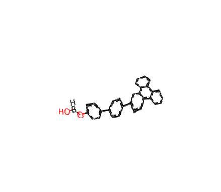 OBOc1ccc(-c2ccc(-c3ccc4c5ccccc5c5ccccc5c4c3)cc2)cc1